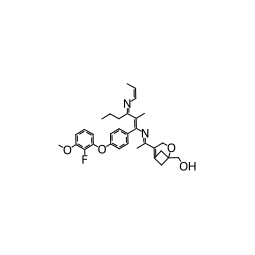 C\C=C/N=C(CCC)\C(C)=C(\N=C(/C)C1=C2CC(CO)(C2)OC1)c1ccc(Oc2cccc(OC)c2F)cc1